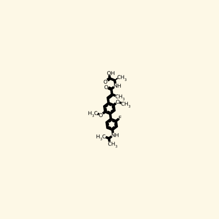 COc1cc(-c2ccc(NC(C)C)cc2F)c(OC)cc1/C=C(\C)C(=O)N[C@H](C)C(=O)O